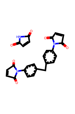 O=C1C=CC(=O)N1.O=C1C=CC(=O)N1c1ccc(Cc2ccc(N3C(=O)C=CC3=O)cc2)cc1